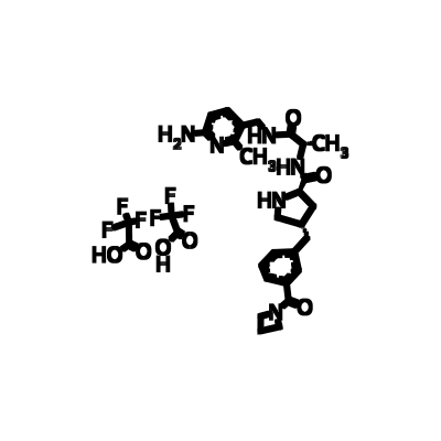 Cc1nc(N)ccc1CNC(=O)[C@H](C)NC(=O)[C@H]1C[C@H](Cc2cccc(C(=O)N3CCC3)c2)CN1.O=C(O)C(F)(F)F.O=C(O)C(F)(F)F